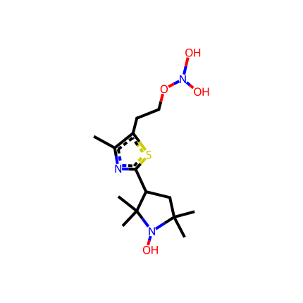 Cc1nc(C2CC(C)(C)N(O)C2(C)C)sc1CCON(O)O